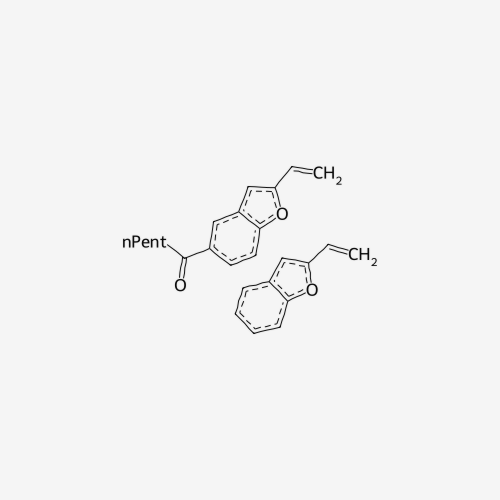 C=Cc1cc2cc(C(=O)CCCCC)ccc2o1.C=Cc1cc2ccccc2o1